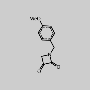 COc1ccc(CN2CC(=O)C2=O)cc1